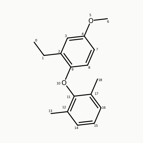 CCc1cc(OC)ccc1Oc1c(C)cccc1C